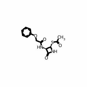 CC(=O)S[C@H]1NC(=O)[C@H]1NC(=O)COc1ccccc1